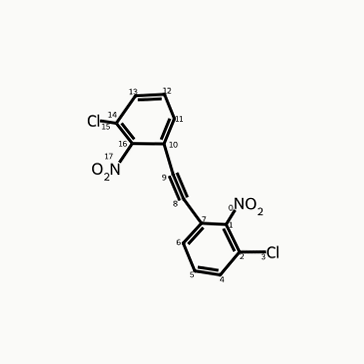 O=[N+]([O-])c1c(Cl)cccc1C#Cc1cccc(Cl)c1[N+](=O)[O-]